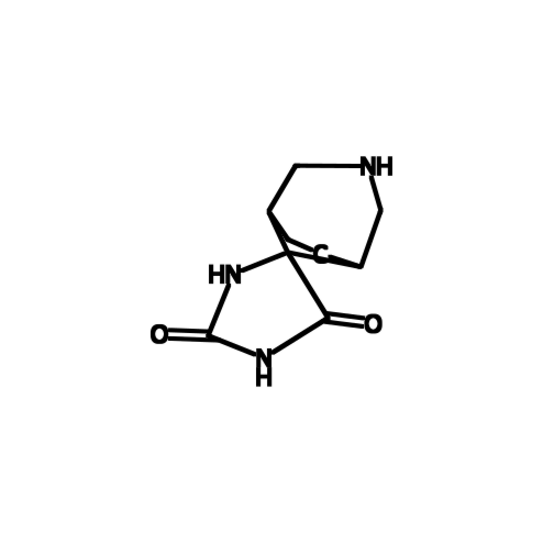 O=C1NC(=O)C2(N1)C1CCC2CNC1